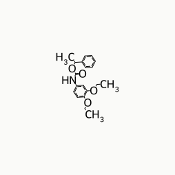 CCOc1ccc(NC(=O)OC(C)c2ccccc2)cc1OCC